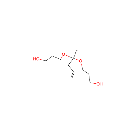 [CH2]C(CC=C)(OCCCO)OCCCO